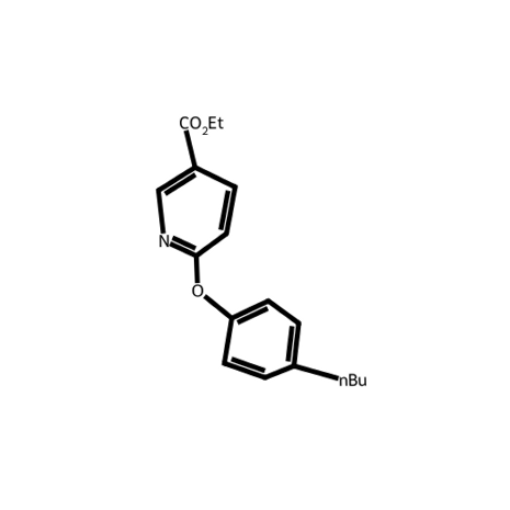 CCCCc1ccc(Oc2ccc(C(=O)OCC)cn2)cc1